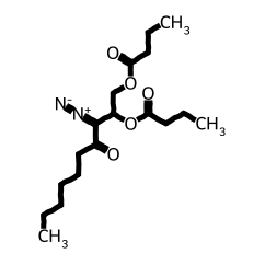 CCCCCCC(=O)C(=[N+]=[N-])C(COC(=O)CCC)OC(=O)CCC